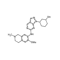 COc1cc2c(cc1Nc1ncc3cnn(C4CCCC(O)C4)c3n1)CN(C)CC2